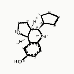 Oc1ccc2c(c1)[C@H]1OCC[C@H]1[C@@H](C1CCCC1)N2